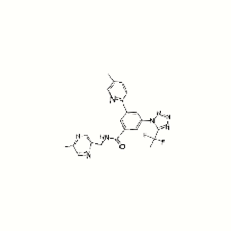 Cc1ccc(-c2cc(C(=O)NCc3cnc(C)cn3)cc(-n3nnnc3C(C)(F)F)c2)nc1